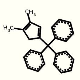 CC1=C(C)CC(C(c2ccccc2)(c2ccccc2)c2ccccc2)=C1